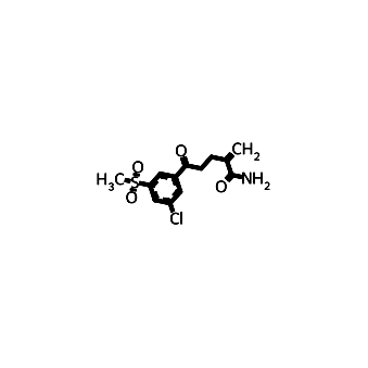 C=C(CCC(=O)c1cc(Cl)cc(S(C)(=O)=O)c1)C(N)=O